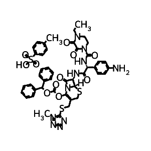 CCN1CCN(C(=O)N[C@@H](C(=O)N[C@@H]2C(=O)N3C(OC(=O)OC(c4ccccc4)c4ccccc4)=C(CSc4nnnn4C)CS[C@@H]23)c2ccc(N)cc2)C(=O)C1=O.Cc1ccc(S(=O)(=O)O)cc1